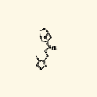 Cc1nnsc1CON=C1CC2CCC(C1)N2C.Cl